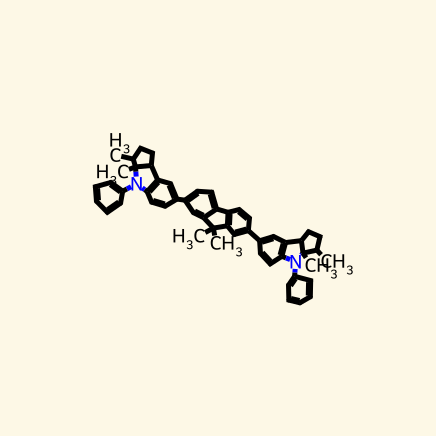 CC1CCC2c3cc(-c4ccc5c(c4)C(C)(C)c4cc(-c6ccc7c(c6)C6CCC(C)C6(C)N7c6ccccc6)ccc4-5)ccc3N(c3ccccc3)C12C